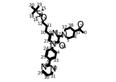 CC(=O)C1CCN(c2nc(CCCO[Si](C)(C)C(C)(C)C)cn(-c3ccc(-c4ncccn4)cc3)c2=O)CC1